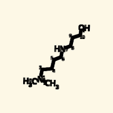 CN(C)CCCCNCCCO